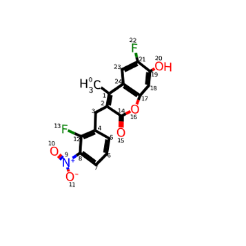 Cc1c(Cc2cccc([N+](=O)[O-])c2F)c(=O)oc2cc(O)c(F)cc12